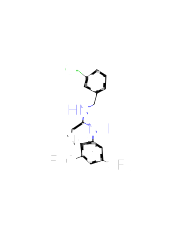 O=[N+]([O-])C=C(NCc1cccc(Cl)c1)Nc1cc(C(F)(F)F)cc(C(F)(F)F)c1